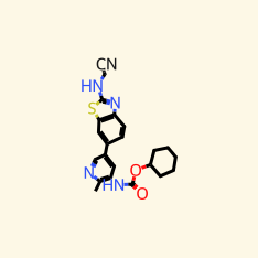 Cc1ncc(-c2ccc3nc(NCC#N)sc3c2)cc1NC(=O)OC1CCCCC1